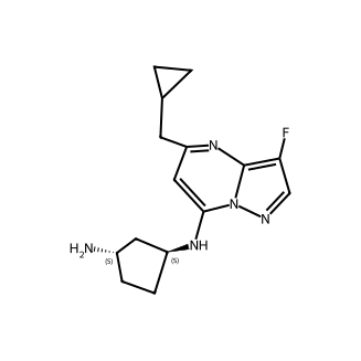 N[C@H]1CC[C@H](Nc2cc(CC3CC3)nc3c(F)cnn23)C1